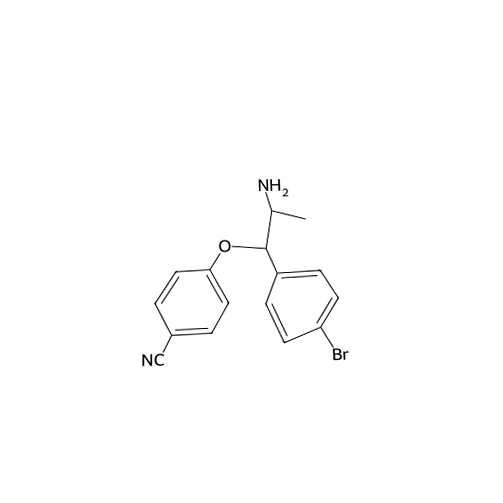 CC(N)C(Oc1ccc(C#N)cc1)c1ccc(Br)cc1